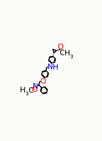 CO/N=C(/COc1ccc(CNc2ccc([C@@H]3C[C@H]3C(C)=O)cc2)cc1)c1ccccc1